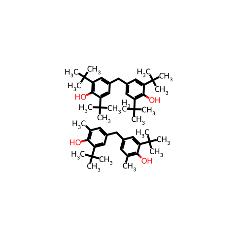 CC(C)(C)c1cc(Cc2cc(C(C)(C)C)c(O)c(C(C)(C)C)c2)cc(C(C)(C)C)c1O.Cc1cc(Cc2cc(C)c(O)c(C(C)(C)C)c2)cc(C(C)(C)C)c1O